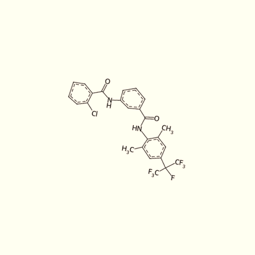 Cc1cc(C(F)(C(F)(F)F)C(F)(F)F)cc(C)c1NC(=O)c1cccc(NC(=O)c2ccccc2Cl)c1